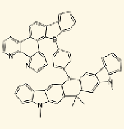 Cn1c2ccccc2c2cc3c(cc21)C(C)(C)c1cc2c(cc1N3c1ccc(B3c4ccccc4-c4ccc5c6cccnc6c6ncccc6c5c43)cc1)c1ccccc1n2C